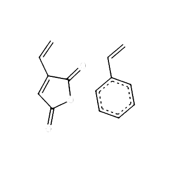 C=CC1=CC(=O)OC1=O.C=Cc1ccccc1